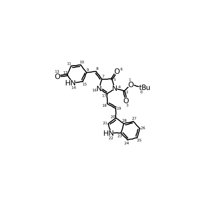 CC(C)(C)OC(=O)N1C(=O)/C(=C/c2ccc(=O)[nH]c2)N=C1/C=C/c1c[nH]c2ccccc12